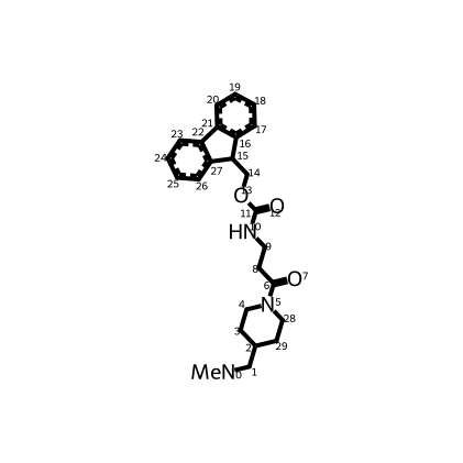 CNCC1CCN(C(=O)CCNC(=O)OCC2c3ccccc3-c3ccccc32)CC1